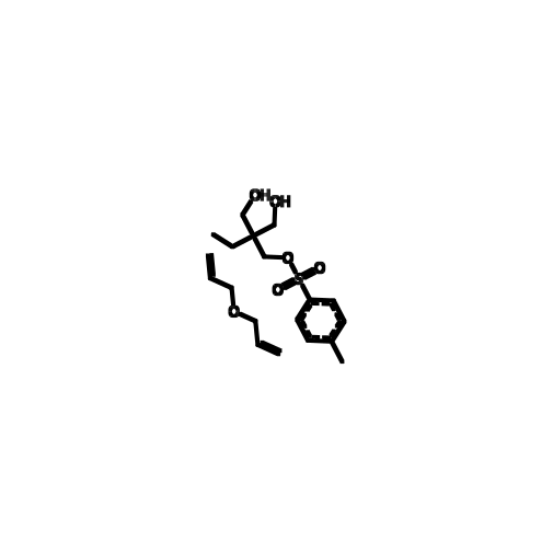 C=CCOCC=C.CCC(CO)(CO)COS(=O)(=O)c1ccc(C)cc1